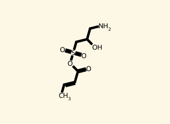 CC=CC(=O)OS(=O)(=O)CC(O)CN